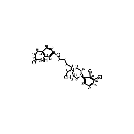 CC[N+]1(CCCCOc2ccc3c(c2)NC(=O)CC3)CCN(c2cccc(Cl)c2Cl)CC1